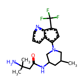 CC1CC(NC(=O)CC(C)(C)N)CN(c2ccc(C(F)(F)F)c3ncccc23)C1